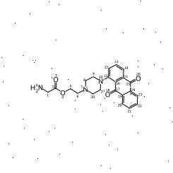 NCC(=O)OCCN1CCN(c2cccc3c2C(=O)c2ccccc2C3=O)CC1